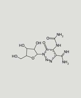 N=C(N)c1nnn(C2OC(CO)C(O)C2O)c(=O)c1NC(N)=O